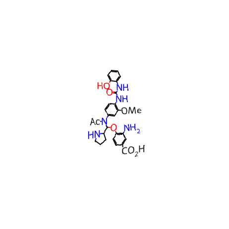 COc1cc(N(C(C)=O)C(Oc2ccc(C(=O)O)cc2N)C2CCCN2)ccc1NC(=O)Nc1ccccc1O